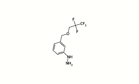 NNc1cccc(COCC(F)(F)C(F)(F)F)c1